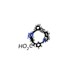 O=C(O)CC1c2cccc(c2)CN2CCc3ccc(cc3C2)CCc2ccccc2C=Cn2nnc3cc1ccc32